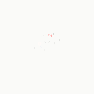 CCCCCC(C)(C)[N+]([O-])=Cc1cc(C(C)(C)C)c(O)c(C(C)(C)C)c1